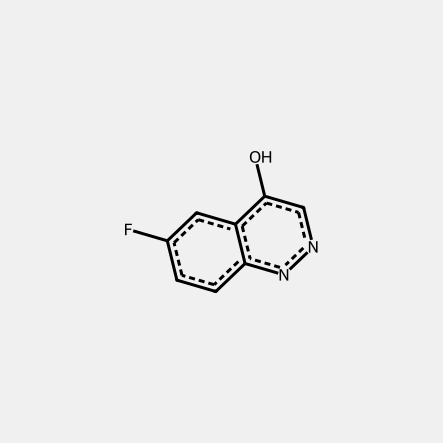 Oc1cnnc2ccc(F)cc12